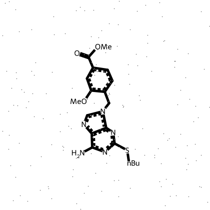 CCCCSc1nc(N)c2ncn(Cc3ccc(C(=O)OC)cc3OC)c2n1